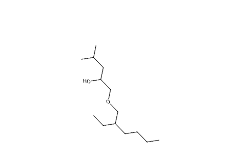 CCCCC(CC)COCC(O)CC(C)C